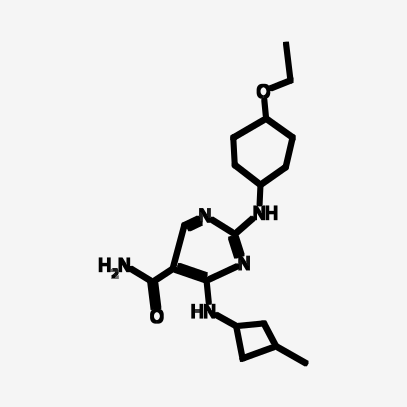 CCOC1CCC(Nc2ncc(C(N)=O)c(NC3CC(C)C3)n2)CC1